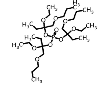 CCCOCC(CC)(OCC)OP(=O)(OC(CC)(COCCC)OCC)OC(CC)(COCCC)OCC